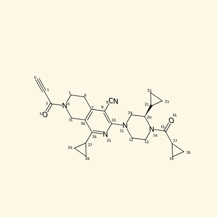 C#CC(=O)N1CCc2c(C#N)c(N3CCN(C(=O)C4CC4)[C@H](C4CC4)C3)nc(C3CC3)c2C1